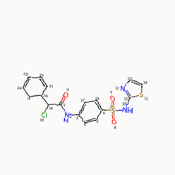 O=C(Nc1ccc(S(=O)(=O)Nc2nccs2)cc1)C(Cl)C1C=CC=CC1